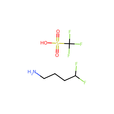 NCCCC(F)F.O=S(=O)(O)C(F)(F)F